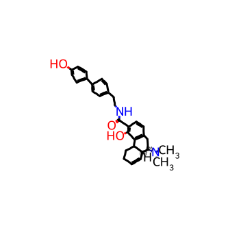 CN(C)[C@@H]1Cc2ccc(C(=O)NCCc3ccc(-c4ccc(O)cc4)cc3)c(O)c2C2CCC=C[C@H]21